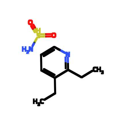 CCc1cccnc1CC.N[SH](=O)=O